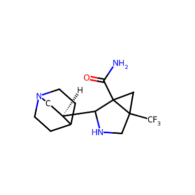 NC(=O)C12CC1(C(F)(F)F)CNC2[C@@H]1CN2CCC1CC2